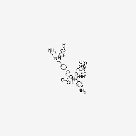 CC1(C)[C@H](NC(=O)/C(=N\O[C@@H](COc2ccc(-c3cn(CCCN)[n+](CC4(F)CNC4)c3)cc2)C(=O)O)c2csc(N)n2)C(=O)N1OS(=O)(=O)[O-]